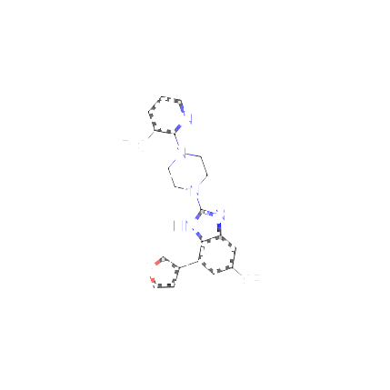 FC(F)(F)c1cc(-c2ccoc2)c2[nH]c(N3CCN(c4ncccc4C(F)(F)F)CC3)nc2c1